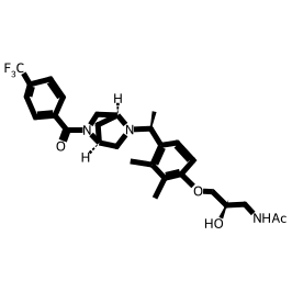 CC(=O)NC[C@@H](O)COc1ccc([C@H](C)N2C[C@@H]3C[C@H]2CN3C(=O)c2ccc(C(F)(F)F)cc2)c(C)c1C